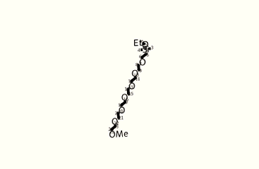 CCO[Si](C)(C)CCOCCOCCOCCOCCOCCOCCOC